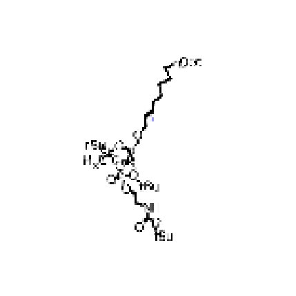 CCCCCCCCCCCCCCC/C=C/COC[C@H](COP(=O)(OCCNC(=O)OC(C)(C)C)OC(C)(C)C)O[Si](C)(C)C(C)(C)C